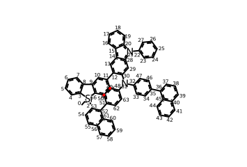 C[Si]1(C)c2ccccc2-c2cc(-c3cc4c5ccccc5n(-c5ccccc5)c4cc3N(c3ccc(-c4cccc5ccccc45)cc3)c3ccc(-c4cccc5ccccc45)cc3)ccc21